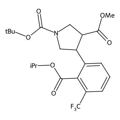 COC(=O)C1CN(C(=O)OC(C)(C)C)CC1c1cccc(C(F)(F)F)c1C(=O)OC(C)C